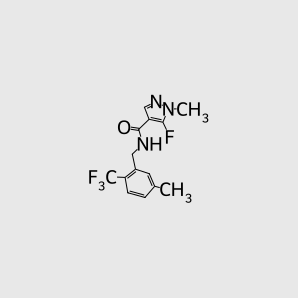 Cc1ccc(C(F)(F)F)c(CNC(=O)c2cnn(C)c2F)c1